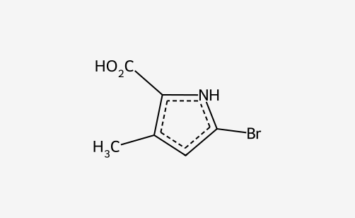 Cc1cc(Br)[nH]c1C(=O)O